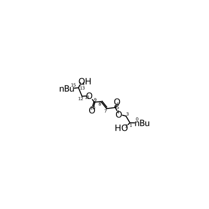 CCCCC(O)COC(=O)/C=C/C(=O)OCC(O)CCCC